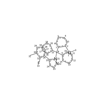 COc1ccccc1C(c1ccccc1)(c1ccccc1)n1nccc1-c1cccc(C)c1F